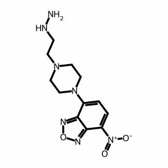 NNCCN1CCN(c2ccc([N+](=O)[O-])c3nonc23)CC1